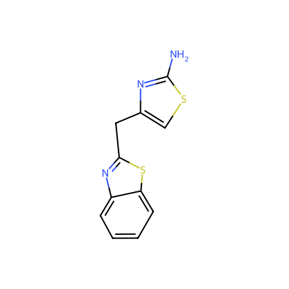 Nc1nc(Cc2nc3ccccc3s2)cs1